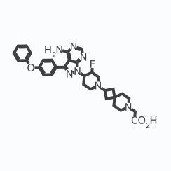 Nc1ncnc2c1c(-c1ccc(Oc3ccccc3)cc1)nn2C1CCN(C2CC3(CCN(CC(=O)O)CC3)C2)CC1F